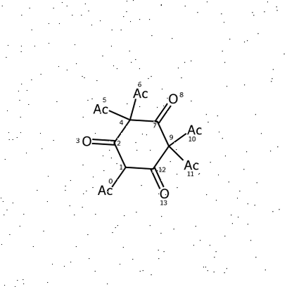 CC(=O)C1C(=O)C(C(C)=O)(C(C)=O)C(=O)C(C(C)=O)(C(C)=O)C1=O